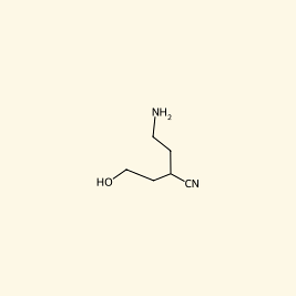 N#CC(CCN)CCO